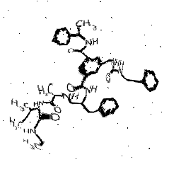 CCNC(=O)[C@@H](NC(=O)[C@H](C)NC[C@H](Cc1ccccc1)NC(=O)c1cc(NC(=O)NCc2ccccc2)cc(C(=O)N[C@H](C)c2ccccc2)c1)C(C)C